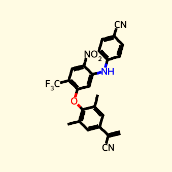 C=C(C#N)c1cc(C)c(Oc2cc(Nc3ccc(C#N)cc3)c([N+](=O)[O-])cc2C(F)(F)F)c(C)c1